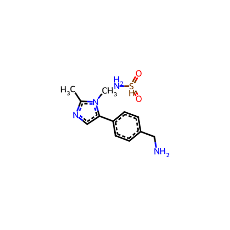 Cc1ncc(-c2ccc(CN)cc2)n1C.N[SH](=O)=O